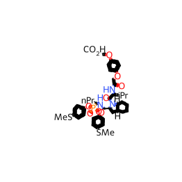 CCC[C@H](NC(=O)[C@@H]1C[C@@H]2CCCC[C@@H]2N1C(=O)C(NC(=O)COc1ccc(OCC(=O)O)cc1)C(C)C)P(=O)(Oc1ccc(SC)cc1)Oc1ccc(SC)cc1